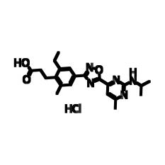 CCc1cc(-c2noc(-c3cc(C)nc(NC(C)C)n3)n2)cc(C)c1CCC(=O)O.Cl